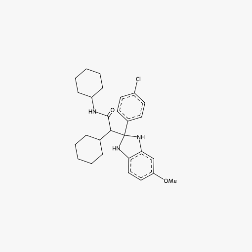 COc1ccc2c(c1)NC(c1ccc(Cl)cc1)(C(C(=O)NC1CCCCC1)C1CCCCC1)N2